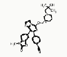 Cn1c(=O)oc2cc(-c3c(-c4ccc(C#N)cc4)nc(OC[C@@H]4CCCN(CC(C)(C)O)C4)n4ccnc34)ccc21